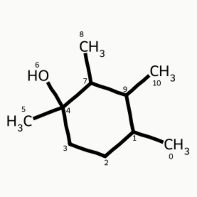 CC1CCC(C)(O)C(C)C1C